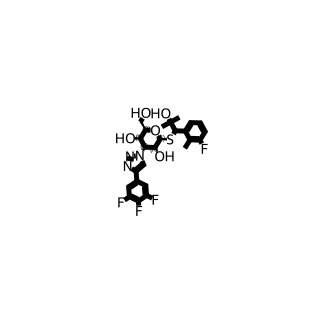 Cc1c(F)cccc1C(S[C@@H]1O[C@H](CO)[C@H](O)[C@H](n2cc(-c3cc(F)c(F)c(F)c3)nn2)[C@H]1O)C(C)(C)O